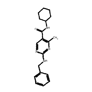 Cc1nc(NCc2ccccc2)ncc1C(=O)NC1CCCCC1